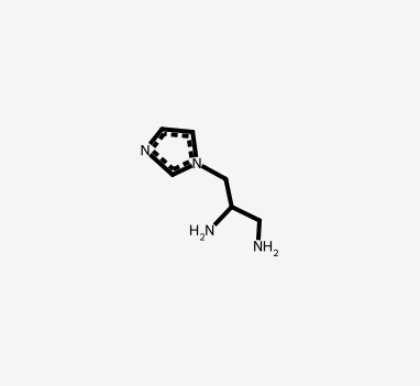 NCC(N)Cn1ccnc1